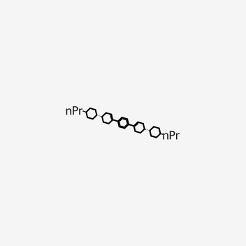 CCC[C@H]1CC[C@H](C2CC=C(c3ccc(C4=CCC([C@H]5CC[C@H](CCC)CC5)CC4)cc3)CC2)CC1